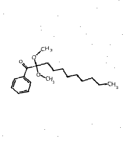 CCCCCCCCCC(OC)(OC)C(=O)c1ccccc1